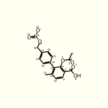 CC(=O)Oc1c(C(=O)O)ccc(C)c1-c1ccc(CO[N+](=O)[O-])cc1